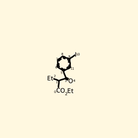 CCOC(=O)C(CC)C(=O)c1cccc(I)c1